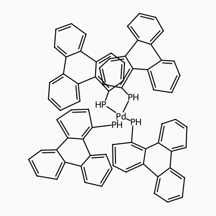 c1ccc2c(c1)c1ccccc1c1c([PH][Pd]([PH]c3cccc4c5ccccc5c5ccccc5c34)([PH]c3cccc4c5ccccc5c5ccccc5c34)[PH]c3cccc4c5ccccc5c5ccccc5c34)cccc21